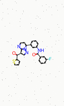 O=C(Nc1cccc(-c2ccnc3c(C(=O)c4cccs4)cnn23)c1)c1cccc(F)c1